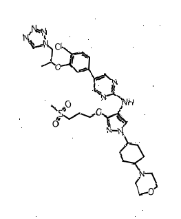 CC(Cn1cnnn1)Oc1cc(-c2cnc(Nc3cn(C4CCC(N5CCOCC5)CC4)nc3OCCCS(C)(=O)=O)nc2)ccc1Cl